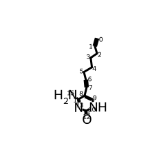 C#CCCCCC#Cc1c[nH]c(=O)nc1N